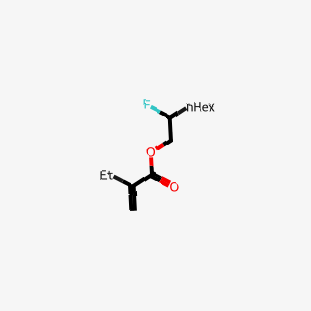 C=C(CC)C(=O)OCC(F)CCCCCC